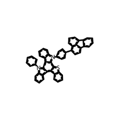 c1ccc(-n2c3ccccc3c3c4c5ccccc5sc4c4c(c5ccccc5n4-c4ccc(-c5ccc6c7c(cccc57)-c5ccccc5-6)cc4)c32)cc1